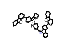 C(=C1\c2ccccc2-c2cc(-c3cccc4c3oc3ccccc34)ccc21)/c1ccc(-n2c3ccccc3c3cc(-c4cccc5c4oc4ccccc45)ccc32)nc1